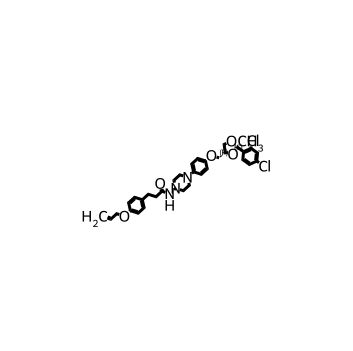 C=CCOc1ccc(CCC(=O)NN2CCN(c3ccc(OC[C@@H]4CO[C@](C)(c5ccc(Cl)cc5Cl)O4)cc3)CC2)cc1